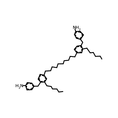 CCCCCCc1cc(CCCCCCCCCCc2ccc(Cc3ccc(N)cc3)c(CCCCCC)c2)ccc1Cc1ccc(N)cc1